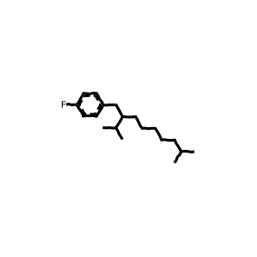 CC(C)CCCCCC(Cc1ccc(F)cc1)C(C)C